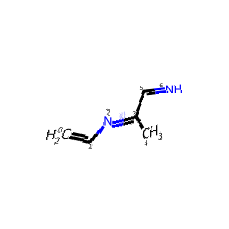 C=C/N=C(\C)C=N